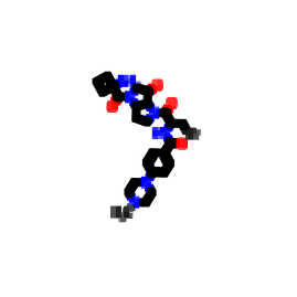 CC(C)CC(NC(=O)c1ccc(N2CCN(C)CC2)cc1)C(=O)N1CCC2C1C(=O)CN2C(=O)C1(N)CCC1